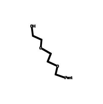 CCCC(C)COCCOCCO